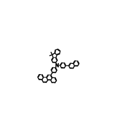 CC1(C)c2ccccc2-c2cc(N(c3ccc(-c4ccc5ccccc5c4)cc3)c3ccc(-c4cc5c6ccccc6ccc5c5ccccc45)cc3)ccc21